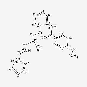 COc1ccc(C(=O)Nc2ccccc2OCC(O)CNCc2ccccc2)cc1